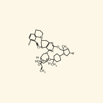 C#Cc1c(F)ccc2c1N([C@@H]1CCc3c(nc(OC[C@]4(C)C[C@@H](F)CN4C4CCC(C)(O)CC4)nc3N3C[C@H]4CC(O)[C@@H](C3)N4C(=O)C=C)C1)CCC2